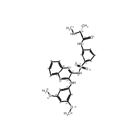 CN[C@H](C)C(=O)Nc1cccc(S(=O)(=O)Nc2nc3ccccc3nc2Nc2cc(OC)cc(OC)c2)c1